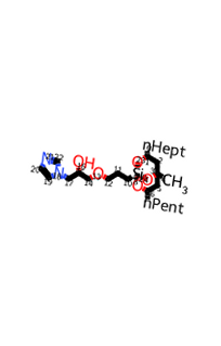 CCCCCCCC1CC2(C)CC(CCCCC)O[Si](CCCOCC(O)Cn3ccnc3)(O1)O2